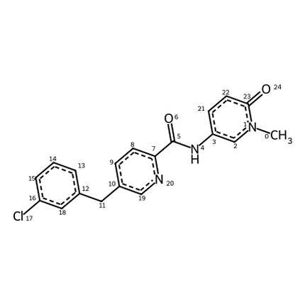 Cn1cc(NC(=O)c2ccc(Cc3cccc(Cl)c3)cn2)ccc1=O